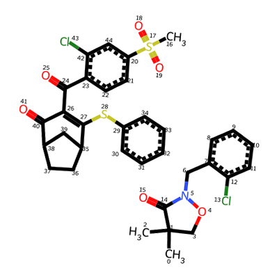 CC1(C)CON(Cc2ccccc2Cl)C1=O.CS(=O)(=O)c1ccc(C(=O)C2=C(Sc3ccccc3)C3CCC(C3)C2=O)c(Cl)c1